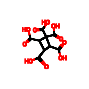 O=C(O)C1C(C(=O)O)C(C(=O)O)(C(=O)O)C1C(=O)O